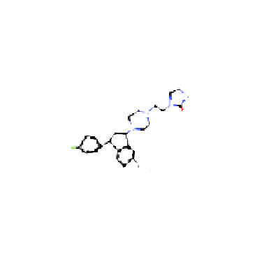 Cc1ccc2c(c1)C(N1CCN(CCN3CCNC3=O)CC1)CC2c1ccc(F)cc1